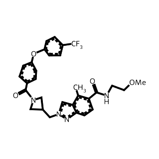 COCCNC(=O)c1ccc2nn(CC3CN(C(=O)c4ccc(Oc5ccc(C(F)(F)F)cc5)cc4)C3)cc2c1C